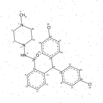 CN1CCN(NC(=O)c2ccccc2C(c2ccc(Cl)cc2)c2ccc(Cl)cc2)CC1